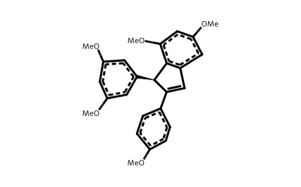 COc1ccc(C2=Cc3cc(OC)cc(OC)c3[C@@H]2c2cc(OC)cc(OC)c2)cc1